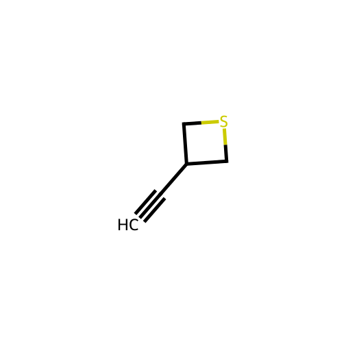 C#CC1CSC1